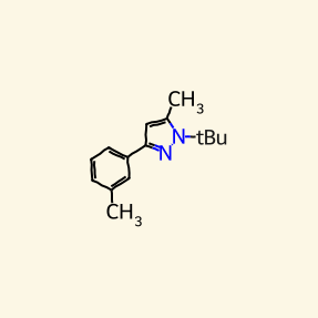 Cc1cccc(-c2cc(C)n(C(C)(C)C)n2)c1